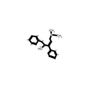 CN(C)CC=C(c1ccccc1)C(O)Cc1ccccc1